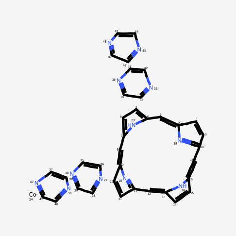 C1=Cc2cc3ccc(cc4nc(cc5ccc(cc1n2)[nH]5)C=C4)[nH]3.[Co].c1cnccn1.c1cnccn1.c1cnccn1.c1cnccn1